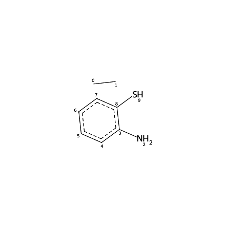 CC.Nc1ccccc1S